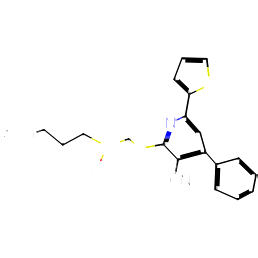 CC(=O)OCCC[S+]([O-])CSc1nc(-c2cccs2)cc(-c2ccccc2)c1C#N